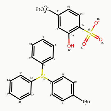 CC(C)(C)c1ccc([S+](c2ccccc2)c2ccccc2)cc1.CCOC(=O)c1ccc(S(=O)(=O)[O-])c(O)c1